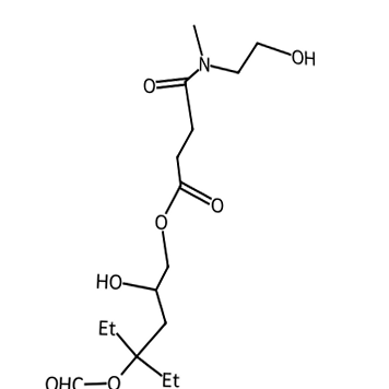 CCC(CC)(CC(O)COC(=O)CCC(=O)N(C)CCO)OC=O